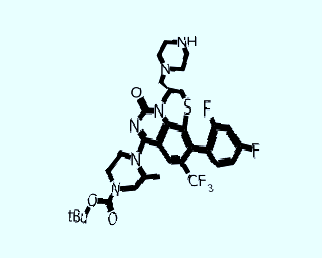 CC1CN(C(=O)OC(C)(C)C)CCN1c1nc(=O)n2c3c(c(-c4ccc(F)cc4F)c(C(F)(F)F)cc13)SC[C@@H]2CN1CCNCC1